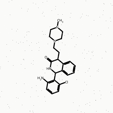 CN1CCN(CCC2C(=O)NC(c3c(N)cccc3Cl)c3ccccc32)CC1